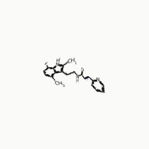 Cc1[nH]c2c(F)ccc(C)c2c1CCNC(=O)/C=C/c1ccccn1